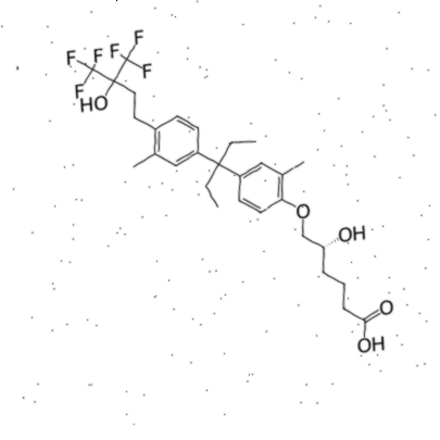 CCC(CC)(c1ccc(CCC(O)(C(F)(F)F)C(F)(F)F)c(C)c1)c1ccc(OC[C@H](O)CCCC(=O)O)c(C)c1